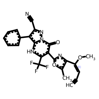 C#C/C=C(/OC)c1nc(-c2c(C(F)(F)F)[nH]c3c(-c4ccccc4)c(C#N)nn3c2=O)oc1C